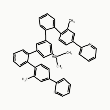 Cc1cc(-c2ccccn2)ccc1-c1ccccc1-c1cc(-c2ccccc2-c2ccc(-c3ccccn3)cc2C)cc([SiH](C)C)c1